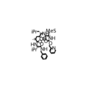 CSC[C@H](NC(=O)OCc1ccccn1)C(=O)N[C@@H](CC(C)C)[C@@H](O)C[C@@H](C)C(=O)N[C@H](C(=O)NCc1ccccc1)C(C)C